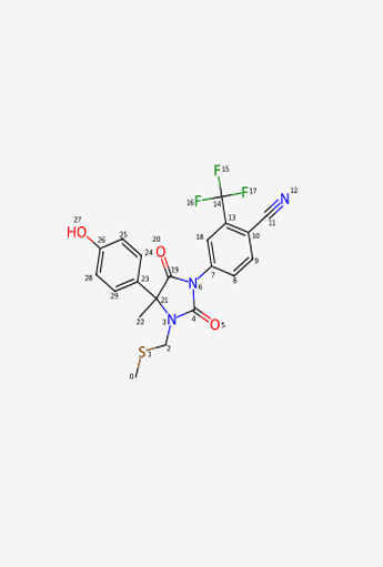 CSCN1C(=O)N(c2ccc(C#N)c(C(F)(F)F)c2)C(=O)C1(C)c1ccc(O)cc1